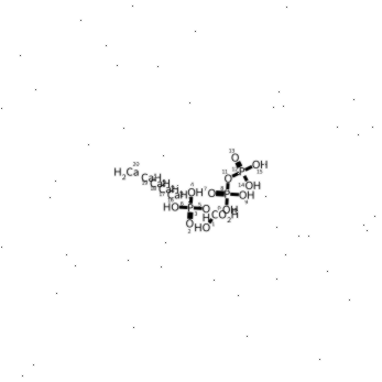 O=C(O)O.O=P(O)(O)O.O=P(O)(O)OP(=O)(O)O.[CaH2].[CaH2].[CaH2].[CaH2].[CaH2]